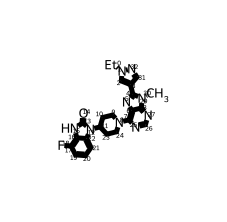 CCn1cc(-c2nc3c(N4CCC(n5c(=O)[nH]c6c(F)cccc65)CC4)ncnc3n2C)cn1